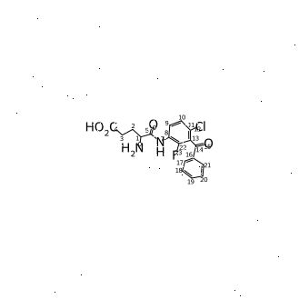 NC(CCC(=O)O)C(=O)Nc1ccc(Cl)c(C(=O)c2ccccc2)c1F